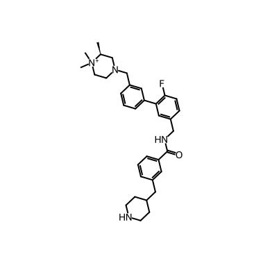 C[C@H]1CN(Cc2cccc(-c3cc(CNC(=O)c4cccc(CC5CCNCC5)c4)ccc3F)c2)CC[N+]1(C)C